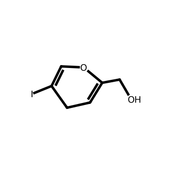 OCC1=CCC(I)=CO1